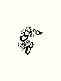 O=C(c1ccc(NS(=O)(=O)c2cccc3cccnc23)cc1O)N1CCN(CC2CCCCC2)CC1